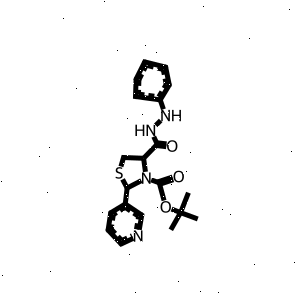 CC(C)(C)OC(=O)N1C(C(=O)NNc2ccccc2)CSC1c1cccnc1